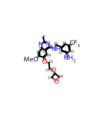 COc1cc2nc(C)nc(NCc3cc(N)cc(C(F)(F)F)c3)c2cc1OCCOC1COC1